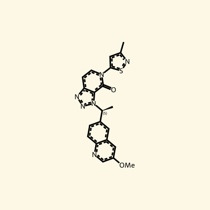 COc1cnc2ccc([C@H](C)n3nnc4ccn(-c5cc(C)ns5)c(=O)c43)cc2c1